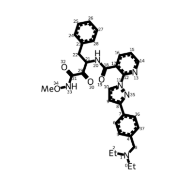 CCN(CC)Cc1ccc(-c2ccn(-c3ncccc3C(=O)NC(Cc3ccccc3)C(=O)C(=O)NOC)n2)cc1